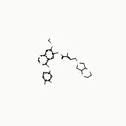 CCOc1cc2ncnc(Nc3ccc(F)c(Cl)c3)c2cc1NC(=O)C(F)=CCN1C[C@@H]2OCCO[C@@H]2C1